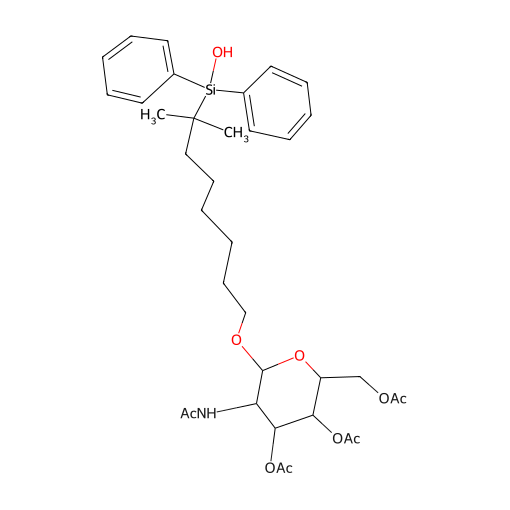 CC(=O)NC1C(OCCCCCCC(C)(C)[Si](O)(c2ccccc2)c2ccccc2)OC(COC(C)=O)C(OC(C)=O)C1OC(C)=O